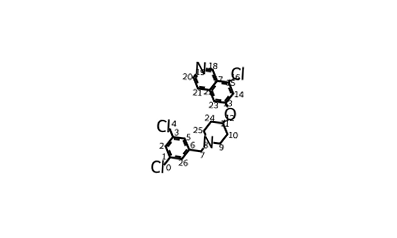 Clc1cc(Cl)cc(CN2CCC(Oc3cc(Cl)c4cnccc4c3)CC2)c1